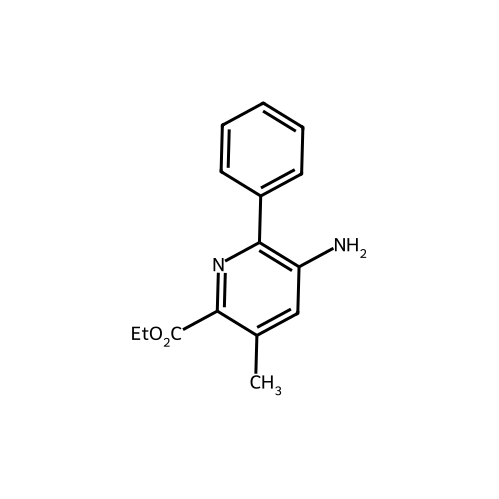 CCOC(=O)c1nc(-c2ccccc2)c(N)cc1C